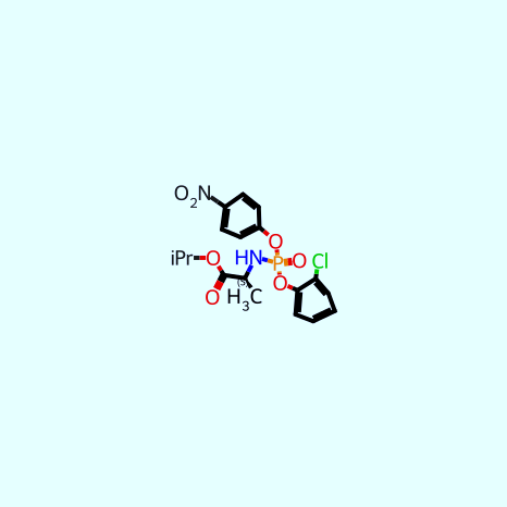 CC(C)OC(=O)[C@H](C)NP(=O)(Oc1ccc([N+](=O)[O-])cc1)Oc1ccccc1Cl